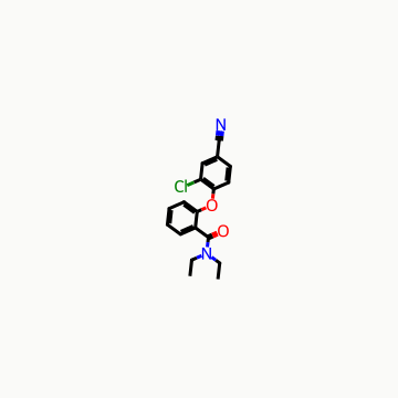 CCN(CC)C(=O)c1ccccc1Oc1ccc(C#N)cc1Cl